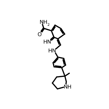 CC1(c2ccc(N/C=C3/C=CC=C(C(N)=O)C3=N)cc2)CCCNC1